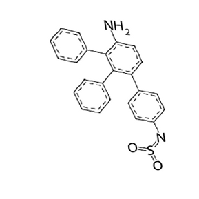 Nc1ccc(-c2ccc(N=S(=O)=O)cc2)c(-c2ccccc2)c1-c1ccccc1